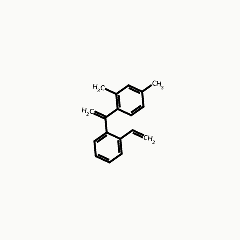 C=Cc1ccccc1C(=C)c1ccc(C)cc1C